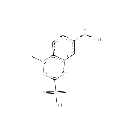 Cc1cc(S(=O)(=O)O)cc2cc(NN)ccc12